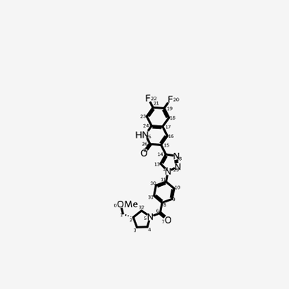 COC[C@H]1CCN(C(=O)c2ccc(-n3cc(-c4cc5cc(F)c(F)cc5[nH]c4=O)nn3)cc2)C1